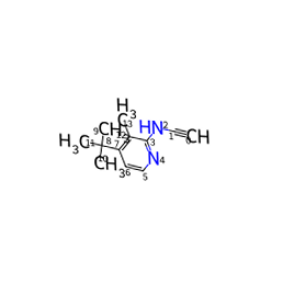 C#CNc1nccc(C(C)(C)C)c1C